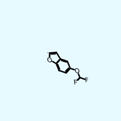 FC(F)Oc1ccc2o[c]cc2c1